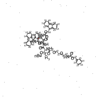 CCCCOC(C)[C@@H](NC(=O)COCCOCCNC(=O)OCc1ccccc1)C(=O)NNC(=O)[C@@H](CC(=O)NC(c1ccccc1)(c1ccccc1)c1ccccc1)NC(=O)OCC1c2ccccc2-c2ccccc21